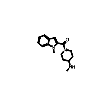 CNC1CCN(C(=O)c2cc3ccccc3n2C)CC1